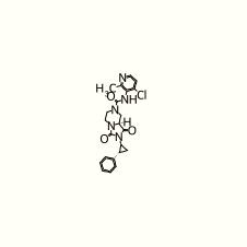 Cc1nccc(Cl)c1NC(=O)N1CCN2C(=O)N([C@H]3C[C@@H]3c3ccccc3)C(=O)[C@@H]2C1